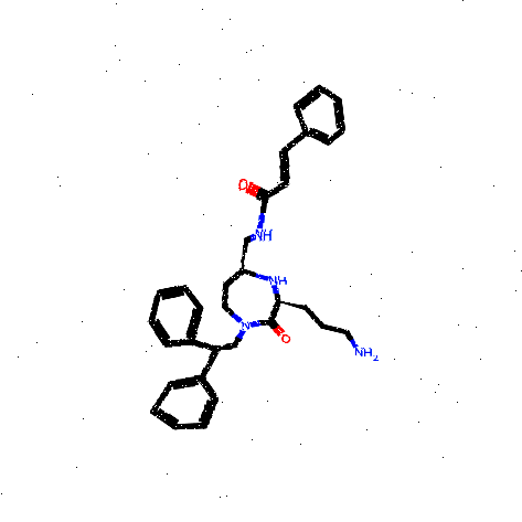 NCCC[C@@H]1N[C@H](CNC(=O)C=Cc2ccccc2)CCN(CC(c2ccccc2)c2ccccc2)C1=O